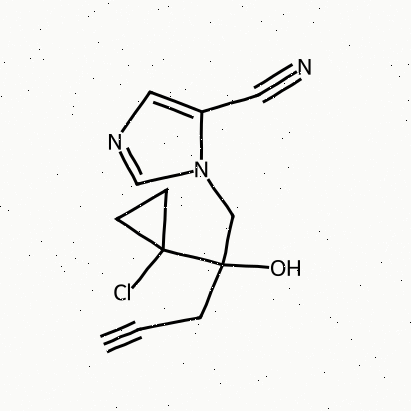 C#CCC(O)(Cn1cncc1C#N)C1(Cl)CC1